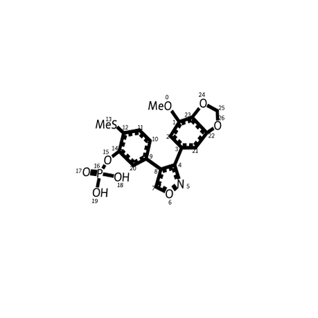 COc1cc(-c2nocc2-c2ccc(SC)c(OP(=O)(O)O)c2)cc2c1OCO2